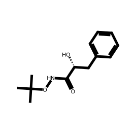 CC(C)(C)ONC(=O)[C@H](O)Cc1ccccc1